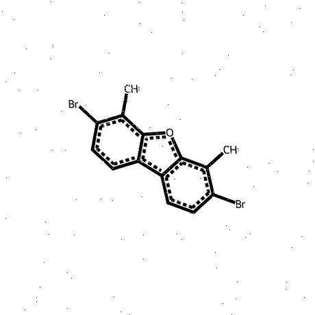 [CH]c1c(Br)ccc2c1oc1c([CH])c(Br)ccc12